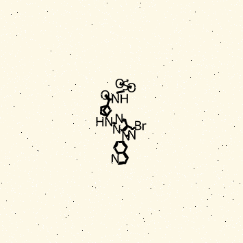 CS(=O)(=O)CCNC(=O)C12CCC(Nc3ncc4c(Br)nn(-c5ccc6ncccc6c5)c4n3)(C1)C2